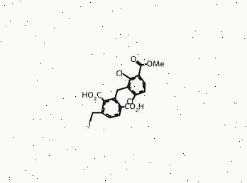 COC(=O)c1ccc(Cl)c(Cc2c(C(=O)O)ccc(CI)c2C(=O)O)c1Cl